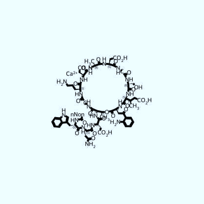 CCCCCCCCCC(=O)N[C@@H](Cc1c[nH]c2ccccc12)C(=O)N[C@@H](CC(N)=O)C(=O)N[C@@H](CC(=O)O)C(=O)N[C@@H]1C(=O)NCC(=O)N[C@@H](CCCN)C(=O)N[C@@H](CC(=O)O)C(=O)N[C@H](C)C(=O)N[C@@H](CC(=O)O)C(=O)NCC(=O)N[C@H](CO)C(=O)N[C@@H]([C@H](C)CC(=O)O)C(=O)N[C@@H](CC(=O)c2ccccc2N)C(=O)O[C@@H]1C.[Ca+2]